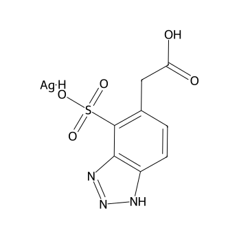 O=C(O)Cc1ccc2[nH]nnc2c1S(=O)(=O)O.[Ag]